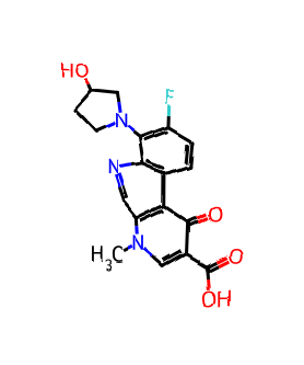 Cn1cc(C(=O)O)c(=O)c2c3ccc(F)c(N4CCC(O)C4)c3ncc21